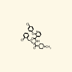 CN1CCN(C(=O)[C@@H](COCc2ccccc2Cl)NC(=O)c2cccnc2Oc2ccc(Cl)cc2)CC1